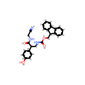 N#CCNC(=O)C(CNC(=O)OCC1c2ccccc2-c2ccccc21)c1ccc(O)cc1